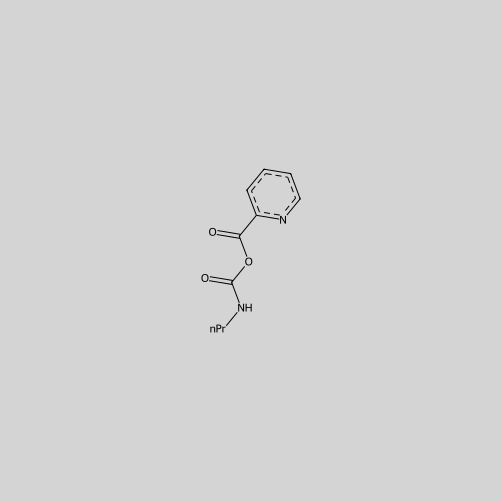 CCCNC(=O)OC(=O)c1ccccn1